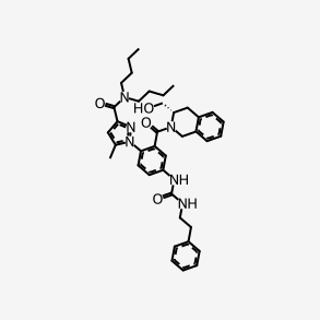 CCCCN(CCCC)C(=O)c1cc(C)n(-c2ccc(NC(=O)NCCc3ccccc3)cc2C(=O)N2Cc3ccccc3C[C@H]2CO)n1